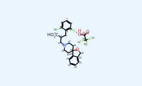 O=C(O)C(Cc1c(F)cccc1F)CN1CCC2(CC1)OCc1ccccc12.O=C(O)C(F)(F)F